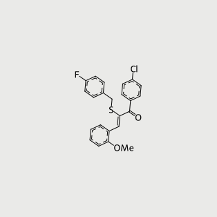 COc1ccccc1C=C(SCc1ccc(F)cc1)C(=O)c1ccc(Cl)cc1